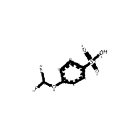 O=S(=O)(O)c1ccc(OC(F)F)cc1